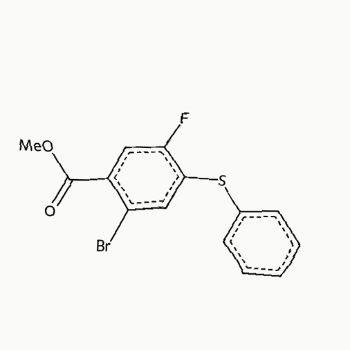 COC(=O)c1cc(F)c(Sc2ccccc2)cc1Br